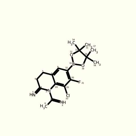 CC(=N)N1C(=N)CCc2cc(B3OC(C)(C)C(C)(C)O3)c(F)c(Cl)c21